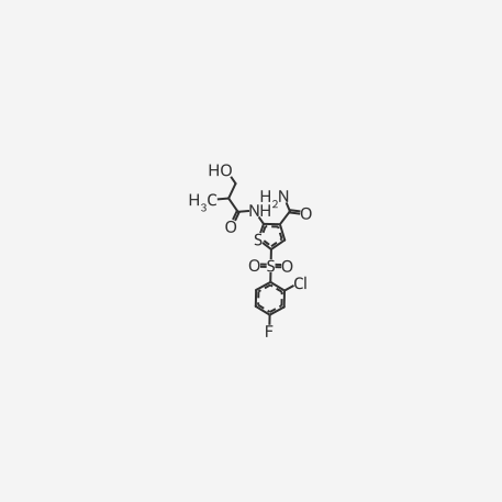 CC(CO)C(=O)Nc1sc(S(=O)(=O)c2ccc(F)cc2Cl)cc1C(N)=O